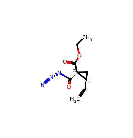 C=C[C@@H]1C[C@]1(C(=O)N=[N+]=[N-])C(=O)OCC